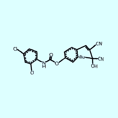 CCCCC(O)(C#N)C(C#N)=Cc1ccc(OC(=O)Nc2ccc(Cl)cc2Cl)cc1